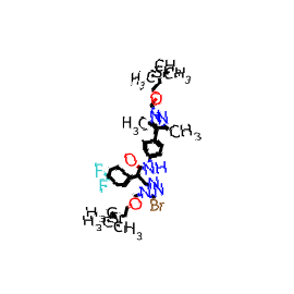 Cc1nn(COCC[Si](C)(C)C)c(C)c1-c1ccc(NC(=O)C(c2nnc(Br)n2COCC[Si](C)(C)C)C2CCC(F)(F)CC2)cc1